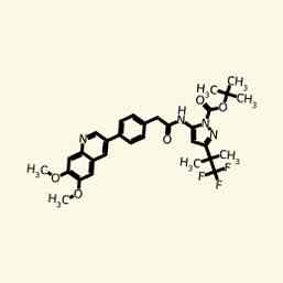 COc1cc2cc(-c3ccc(CC(=O)Nc4cc(C(C)(C)C(F)(F)F)nn4C(=O)OC(C)(C)C)cc3)cnc2cc1OC